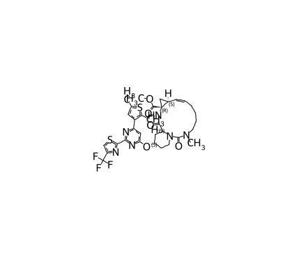 COC(=O)[C@@]12C[C@H]1C=CCCCCN(C)C(=O)N1CC[C@H](Oc3cc(-c4cc(C)sc4C)nc(-c4nc(C(F)(F)F)cs4)n3)C[C@H]1C(=O)N2